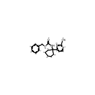 N#Cc1nccc(C2(NC(=O)OCc3ccccc3)CCCCC2)n1